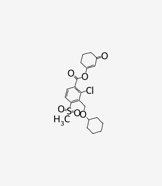 CS(=O)(=O)c1ccc(C(=O)OC2=CC(=O)CCC2)c(Cl)c1COC1CCCCC1